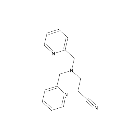 N#CCCN(Cc1ccccn1)Cc1ccccn1